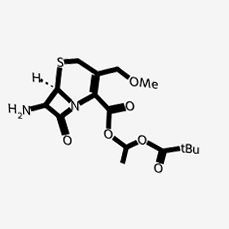 COCC1=C(C(=O)OC(C)OC(=O)C(C)(C)C)N2C(=O)C(N)[C@H]2SC1